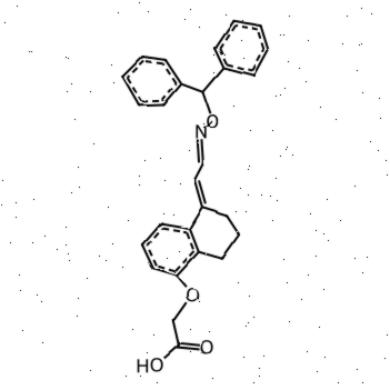 O=C(O)COc1cccc2c1CCCC2=CC=NOC(c1ccccc1)c1ccccc1